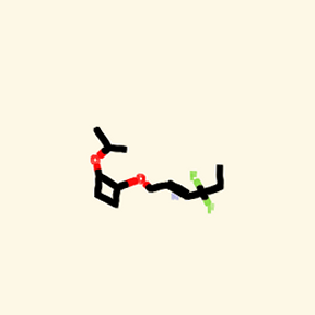 CCC(F)(F)/C=C/COC1CCC1OC(C)C